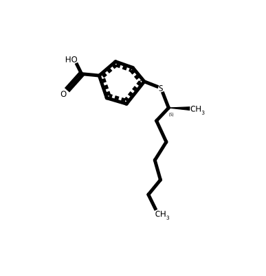 CCCCCC[C@H](C)Sc1ccc(C(=O)O)cc1